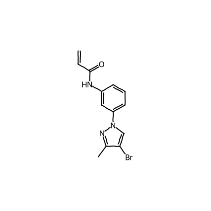 C=CC(=O)Nc1cccc(-n2cc(Br)c(C)n2)c1